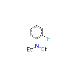 CCN(CC)c1ccccc1F